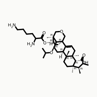 CC(C)O[C@@H]1C[C@@]23COC[C@@](C)([C@@H]2CC[C@H]2C3=CC[C@@]3(C)[C@H](C(=O)O)[C@@](C)([C@H](C)C(C)C)CC[C@]23C)[C@H]1OC(=O)C(N)CCCCN